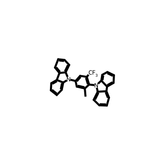 Cc1cc(-n2c3ccccc3c3ccccc32)cc(C(F)(F)F)c1-n1c2ccccc2c2ccccc21